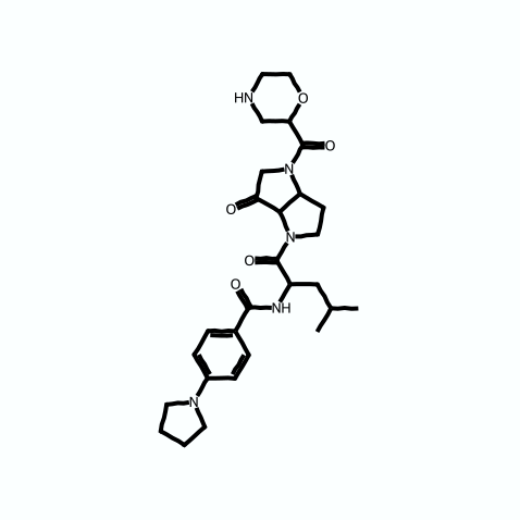 CC(C)CC(NC(=O)c1ccc(N2CCCC2)cc1)C(=O)N1CCC2C1C(=O)CN2C(=O)C1CNCCO1